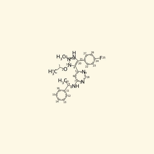 CCON1C(c2cc(NC(C)c3ccccc3)ncn2)=C(c2ccc(F)cc2)NN1C